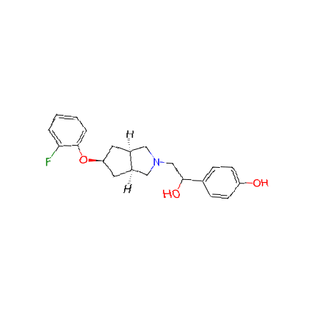 Oc1ccc(C(O)CN2C[C@H]3C[C@@H](Oc4ccccc4F)C[C@H]3C2)cc1